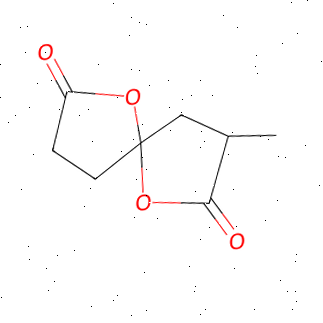 CC1CC2(CCC(=O)O2)OC1=O